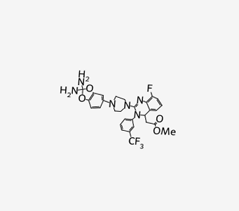 COC(=O)CC1c2cccc(F)c2N=C(N2CCN(c3ccc4c(c3)OC(N)(N)O4)CC2)N1c1cccc(C(F)(F)F)c1